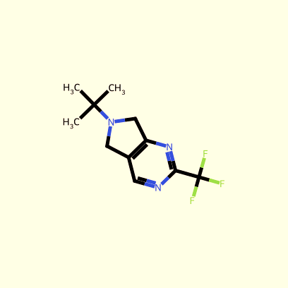 CC(C)(C)N1Cc2cnc(C(F)(F)F)nc2C1